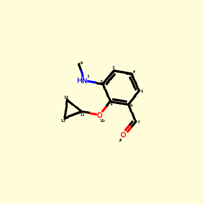 CNc1cccc(C=O)c1OC1CC1